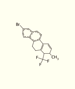 CC1C=CC2=C(CCc3c2ccc2cc(Br)ccc32)C1C(F)(F)F